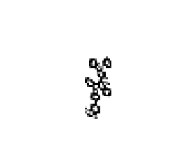 c1ccc(-n2c3ccccc3c3cc4c(cc32)sc2c3ccccc3c3c(c5ccccc5n3-c3ccc(-c5ccc6nccnc6c5)cc3)c42)cc1